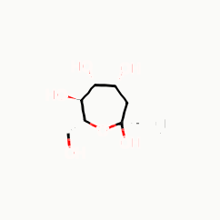 O=C(O)[C@@]1(O)C[C@@H](O)[C@@H](O)[C@H](O)[C@@H](CO)O1